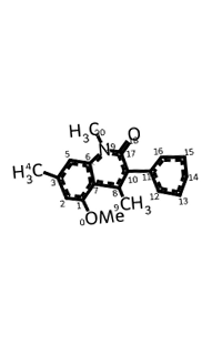 COc1cc(C)cc2c1c(C)c(-c1ccccc1)c(=O)n2C